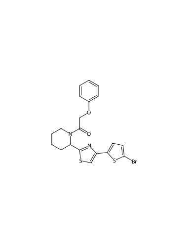 O=C(COc1ccccc1)N1CCCCC1c1nc(-c2ccc(Br)s2)cs1